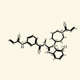 C=CC(=O)Nc1cccc(C(=O)N(C)c2nc3cccc(Cl)c3n2C2CCCN(C(=O)C=C)CC2)c1